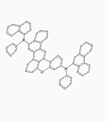 c1ccc(B(c2cccc3ccccc23)c2cc3c4cccc5c4c(cc3c3ccccc23)-c2ccc(N(c3ccccc3)c3cc4ccccc4c4ccccc34)cc2O5)cc1